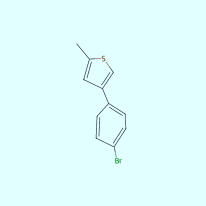 Cc1cc(-c2ccc(Br)cc2)cs1